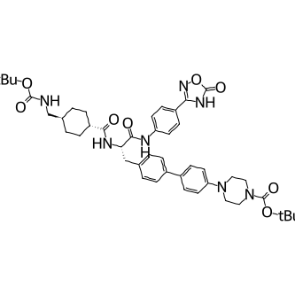 CC(C)(C)OC(=O)NC[C@H]1CC[C@H](C(=O)N[C@@H](Cc2ccc(-c3ccc(N4CCN(C(=O)OC(C)(C)C)CC4)cc3)cc2)C(=O)Nc2ccc(-c3noc(=O)[nH]3)cc2)CC1